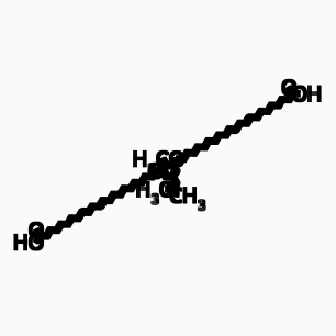 Cc1c(OCCCCCCCCCC=CCC=CCCCCCCCC(=O)O)cc(CN(C)C)cc1OCCCCCCCCCC=CCC=CCCCCCCCC(=O)O